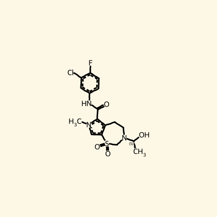 C[C@H](O)N1CCc2c(cn(C)c2C(=O)Nc2ccc(F)c(Cl)c2)S(=O)(=O)C1